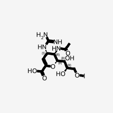 CC(=O)N[C@H]1[C@H]([C@H](O)[C@H](O)COI)OC(C(=O)O)=C[C@@H]1NC(=N)N